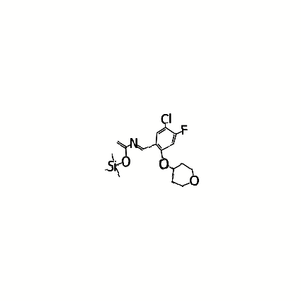 C=C(/N=C/c1cc(Cl)c(F)cc1OC1CCOCC1)O[Si](C)(C)C